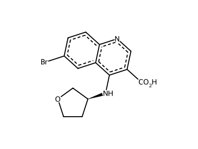 O=C(O)c1cnc2ccc(Br)cc2c1N[C@H]1CCOC1